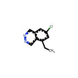 CCc1cc(Cl)cc2cnncc12